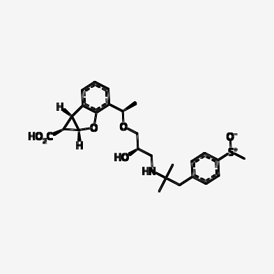 C[C@@H](OC[C@H](O)CNC(C)(C)Cc1ccc([S+](C)[O-])cc1)c1cccc2c1O[C@@H]1[C@@H](C(=O)O)[C@H]21